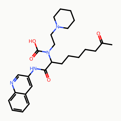 CC(=O)CCCCCC(C(=O)Nc1cnc2ccccc2c1)N(CCN1CCCCC1)C(=O)O